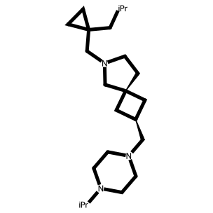 CC(C)CC1(CN2CC[C@]3(C2)C[C@H](CN2CCN(C(C)C)CC2)C3)CC1